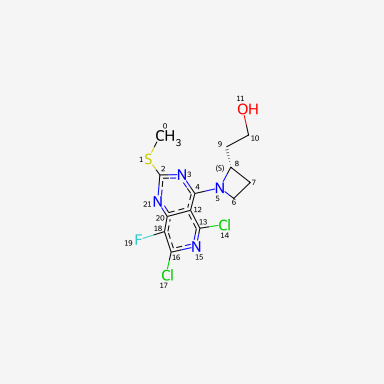 CSc1nc(N2CC[C@H]2CCO)c2c(Cl)nc(Cl)c(F)c2n1